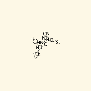 CC1(C)CC=C(c2nc(C3=CC4(C)OC(C)(C3)C3CC34)ccc2NC(=O)c2nc(C#N)cn2COCC[Si](C)(C)C)CC1